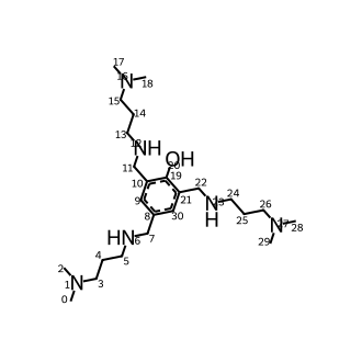 CN(C)CCCNCc1cc(CNCCCN(C)C)c(O)c(CNCCCN(C)C)c1